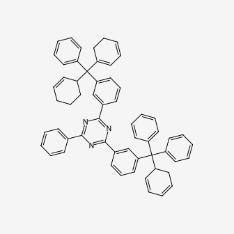 C1=CCCC(C(c2ccccc2)(c2cccc(-c3nc(-c4ccccc4)nc(-c4cccc(C(c5ccccc5)(c5ccccc5)C5C=CC=CC5)c4)n3)c2)C2C=CCCC2)=C1